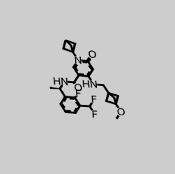 COC12CC(CNc3cc(=O)n(C45CC(C4)C5)cc3C(=O)N[C@H](C)c3cccc(C(F)F)c3F)(C1)C2